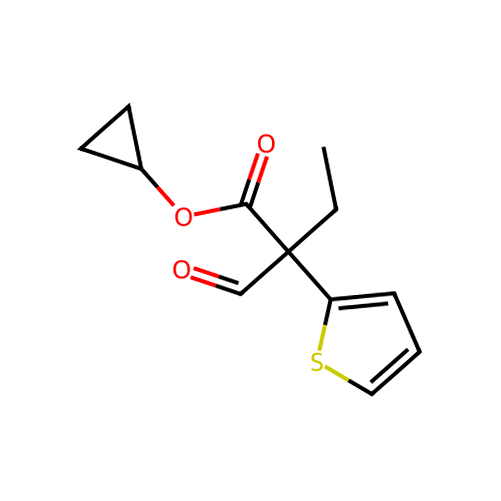 CCC(C=O)(C(=O)OC1CC1)c1cccs1